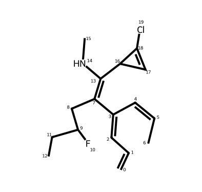 C=C/C=C(\C=C/C)C(/CC(F)CC)=C(/NC)C1C=C1Cl